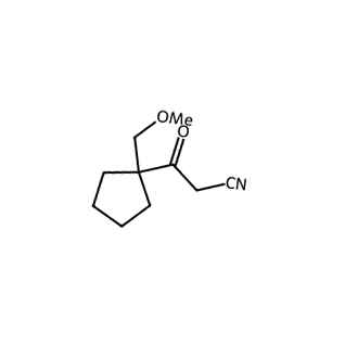 COCC1(C(=O)CC#N)CCCC1